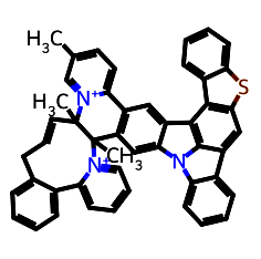 Cc1ccc2[n+](c1)C1(C)/C=C/Cc3ccccc3-c3cccc[n+]3C1(C)c1cc3c(cc1-2)c1c2c(cc4c5ccccc5n3c41)sc1ccccc12